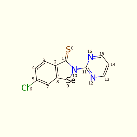 S=c1c2ccc(Cl)cc2[se]n1-c1ncccn1